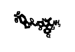 Cc1nc2c(c(-c3ccc(Cl)cc3Cl)c1CN)C(=O)N(CC(=O)N1CCc3cc(S(C)(=O)=O)ccc31)C2